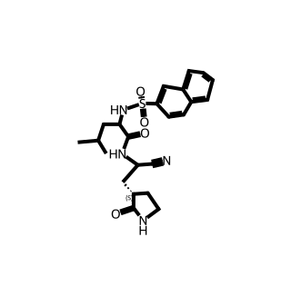 CC(C)CC(NS(=O)(=O)c1ccc2ccccc2c1)C(=O)NC(C#N)C[C@@H]1CCNC1=O